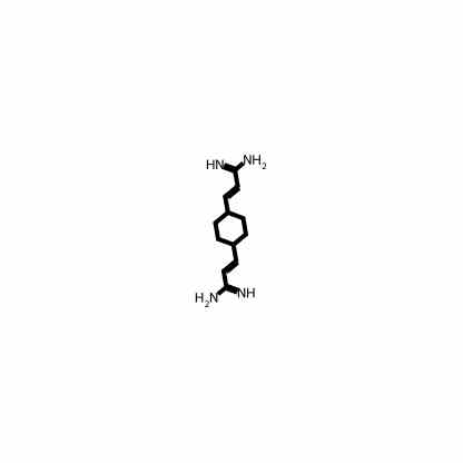 N=C(N)/C=C/C1CCC(/C=C/C(=N)N)CC1